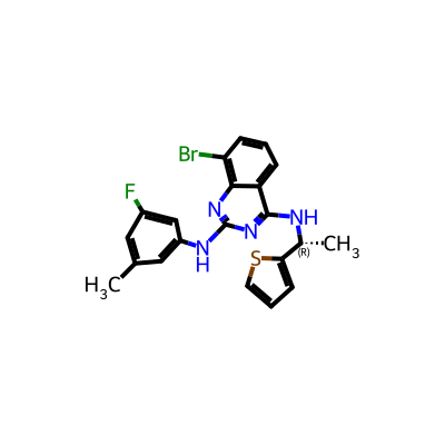 Cc1cc(F)cc(Nc2nc(N[C@H](C)c3cccs3)c3cccc(Br)c3n2)c1